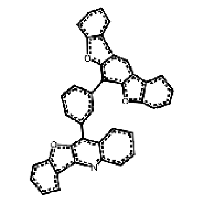 c1cc(-c2c3oc4ccccc4c3cc3c2oc2ccccc23)cc(-c2c3ccccc3nc3c2oc2ccccc23)c1